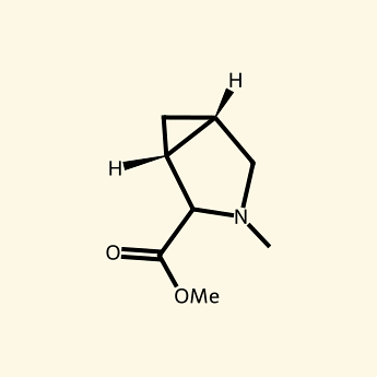 COC(=O)C1[C@@H]2C[C@@H]2CN1C